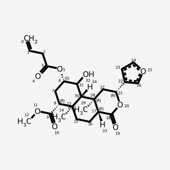 C=CCC(=O)O[C@H]1C[C@@H](C(=O)OC)[C@]2(C)CC[C@H]3C(=O)O[C@@H](c4ccoc4)C[C@]3(C)[C@H]2C1O